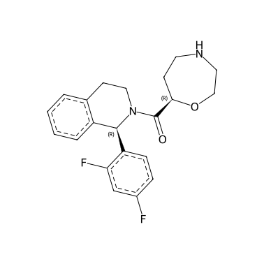 O=C([C@H]1CCNCCO1)N1CCc2ccccc2[C@@H]1c1ccc(F)cc1F